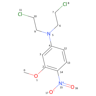 COc1cc(N(CCCl)CCCl)ccc1[N+](=O)[O-]